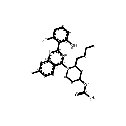 CCCCC1CC(OC(N)=O)CCN1c1nc(-c2c(O)cccc2F)nc2cc(C)ccc12